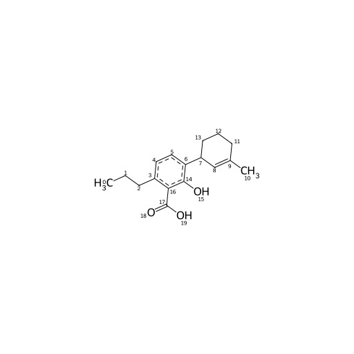 CCCc1ccc(C2C=C(C)CCC2)c(O)c1C(=O)O